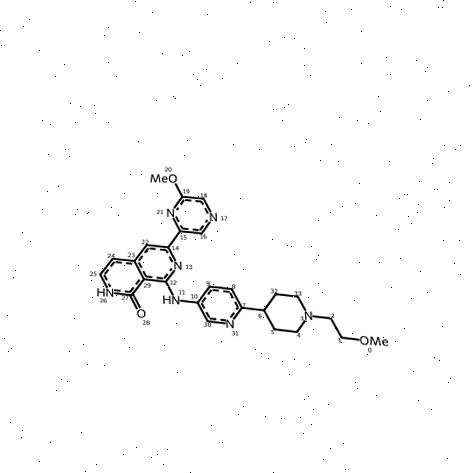 COCCN1CCC(c2ccc(Nc3nc(-c4cncc(OC)n4)cc4cc[nH]c(=O)c34)cn2)CC1